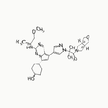 COC[C@H](C)Nc1ncc2c(-c3cnn(C(C)(C)C(=O)N4C[C@H]5COC[C@H]5C4)c3)cc([C@H]3CC[C@H](O)CC3)n2n1